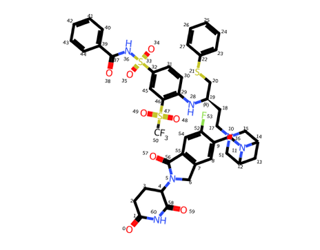 O=C1CCC(N2Cc3cc(CN4C5CC4CN(CC[C@H](CSc4ccccc4)Nc4ccc(S(=O)(=O)NC(=O)c6ccccc6)cc4S(=O)(=O)C(F)(F)F)C5)c(F)cc3C2=O)C(=O)N1